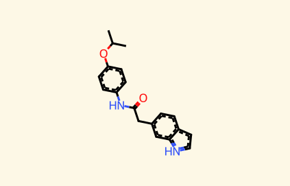 CC(C)Oc1ccc(NC(=O)Cc2ccc3cc[nH]c3c2)cc1